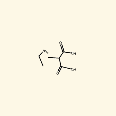 CC(C(=O)O)C(=O)O.CCN